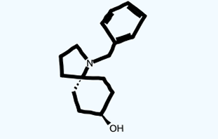 O[C@H]1CC[C@@]2(CCCN2Cc2ccccc2)CC1